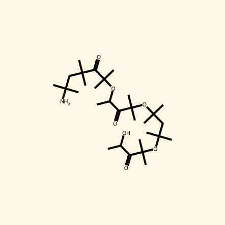 CC(O)C(=O)C(C)(C)OC(C)(C)CC(C)(C)OC(C)(C)C(=O)C(C)OC(C)(C)C(=O)C(C)(C)CC(C)(C)N